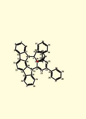 C1=CCC(n2c3ccccc3c3ccc4c5ccccc5n(-c5nc(-c6ccccc6)nc(-c6ccccc6)n5)c4c32)C=C1